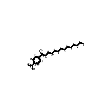 CCCCCCCCCCCCCC(=O)c1ccc(N(C)C)cc1